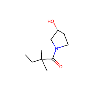 CCC(C)(C)C(=O)N1CC[C@@H](O)C1